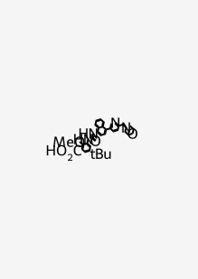 COc1c(NC(=O)Nc2ccc(-c3ccc(CN4CCOCC4)nc3)c3ccccc23)cc(C(C)(C)C)cc1C(=O)O